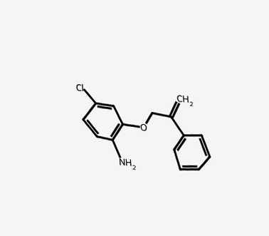 C=C(COc1cc(Cl)ccc1N)c1ccccc1